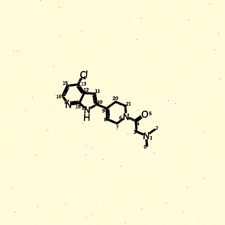 CN(C)CC(=O)N1CC=C(c2cc3c(Cl)ccnc3[nH]2)CC1